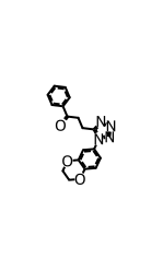 O=C(CCc1nnnn1-c1ccc2c(c1)OCCO2)c1ccccc1